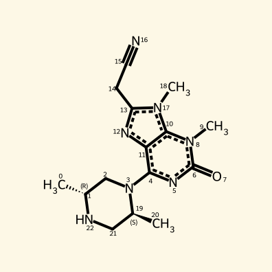 C[C@@H]1CN(c2nc(=O)n(C)c3c2nc(CC#N)n3C)[C@@H](C)CN1